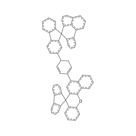 C1=CC(c2ccc3c(c2)C2(c4ccccc4-3)c3ccccc3-c3cccc4cccc2c34)CC=C1c1cc2c(c3ccccc13)Oc1ccccc1C21c2ccccc2-c2ccccc21